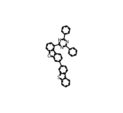 c1ccc(-c2nc(-c3ccccc3)nc(-c3cccc4oc5cc(-c6ccc7c(c6)sc6ccccc67)ccc5c34)n2)cc1